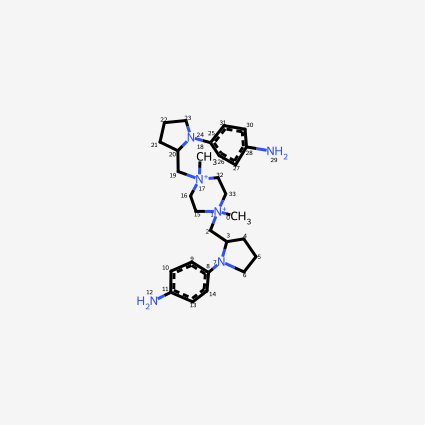 C[N+]1(CC2CCCN2c2ccc(N)cc2)CC[N+](C)(CC2CCCN2c2ccc(N)cc2)CC1